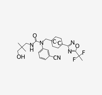 CC(C)(CO)CNC(=O)N(CC12CCC(c3noc(C(C)(F)F)n3)(CC1)CC2)c1cccc(C#N)c1